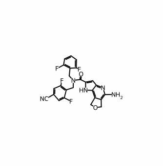 N#Cc1cc(F)c(CN(Cc2c(F)cccc2F)C(=O)c2cc3nc(N)c4c(c3[nH]2)COC4)c(F)c1